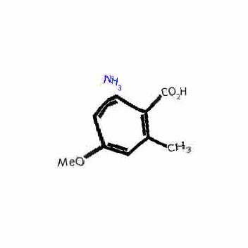 COc1ccc(C(=O)O)c(C)c1.N